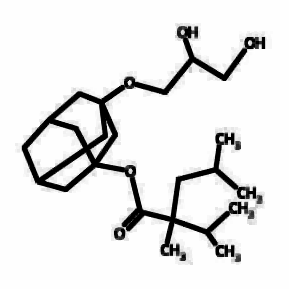 CC(C)CC(C)(C(=O)OC12CC3CC(CC(OCC(O)CO)(C3)C1)C2)C(C)C